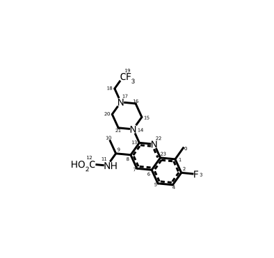 Cc1c(F)ccc2cc(C(C)NC(=O)O)c(N3CCN(CC(F)(F)F)CC3)nc12